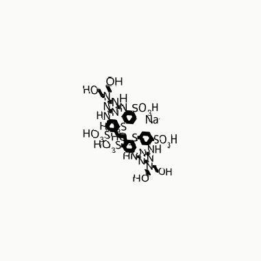 O=S(=O)(O)c1ccc(S(=O)(=O)O)c(Nc2nc(Nc3ccc(C=Cc4ccc(Nc5nc(Nc6cc(S(=O)(=O)O)ccc6S(=O)(=O)O)nc(N(CCO)CCO)n5)cc4S(=O)(=O)O)c(S(=O)(=O)O)c3)nc(N(CCO)CCO)n2)c1.[Na]